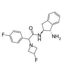 N[C@H]1c2ccccc2C[C@@H]1NC(=O)C(c1ccc(F)cc1)N1CC(F)C1